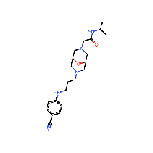 CC(C)NC(=O)CN1CC2CN(CCCNc3ccc(C#N)cc3)CC(C1)O2